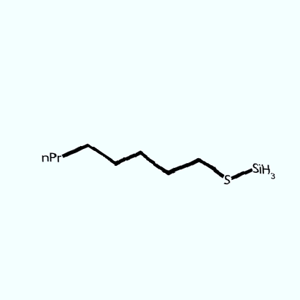 CCCCCCCCS[SiH3]